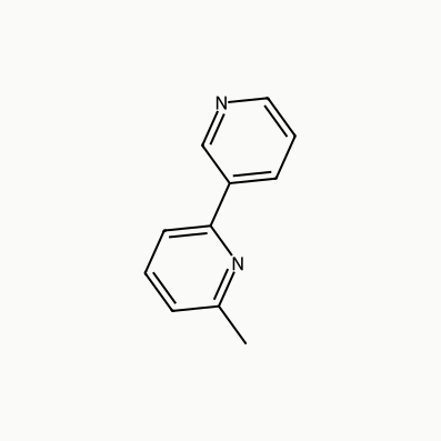 Cc1cccc(-c2cccnc2)n1